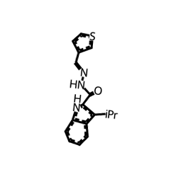 CC(C)c1c(C(=O)NN=Cc2ccsc2)[nH]c2ccccc12